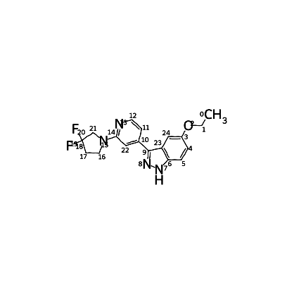 CCOc1ccc2[nH]nc(-c3ccnc(N4CCC(F)(F)C4)c3)c2c1